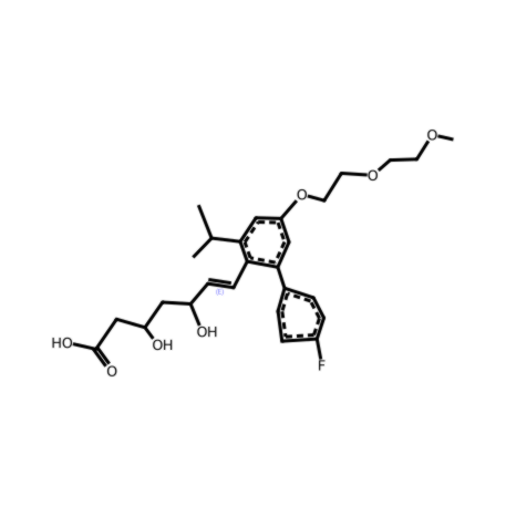 COCCOCCOc1cc(-c2ccc(F)cc2)c(/C=C/C(O)CC(O)CC(=O)O)c(C(C)C)c1